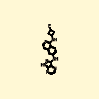 FC1CC(Nc2nccc3cc(Nc4n[nH]c5nccnc45)ccc23)C1